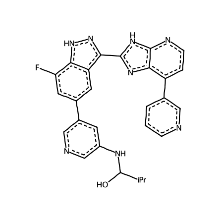 CC(C)C(O)Nc1cncc(-c2cc(F)c3[nH]nc(-c4nc5c(-c6cccnc6)ccnc5[nH]4)c3c2)c1